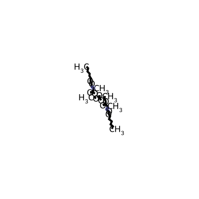 CCCCCCOO/C=C(\C)C(=O)OC(C)OC(=O)OC(C)OC(=O)/C(C)=C/OOCCCCCC